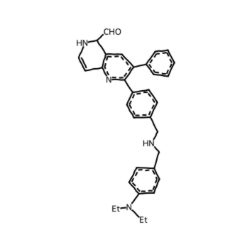 CCN(CC)c1ccc(CNCc2ccc(-c3nc4c(cc3-c3ccccc3)C(C=O)NC=C4)cc2)cc1